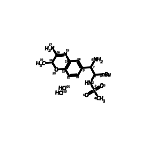 CCCCC(NS(C)(=O)=O)C(N)c1ccc2c(c1)N=C(N)C(C)O2.Cl.Cl